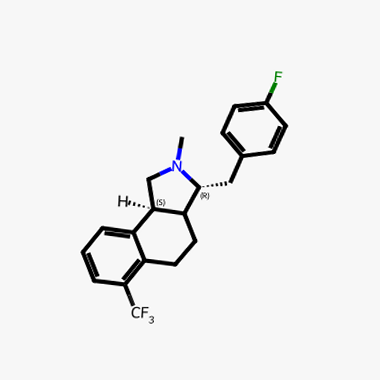 CN1C[C@@H]2c3cccc(C(F)(F)F)c3CCC2[C@H]1Cc1ccc(F)cc1